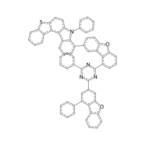 c1ccc(-c2nc(-c3cc(-c4ccccc4)c4c(c3)oc3ccccc34)nc(-c3cccc4oc5ccc(-c6cccc7c8c9c(ccc8n(-c8ccccc8)c67)sc6ccccc69)cc5c34)n2)cc1